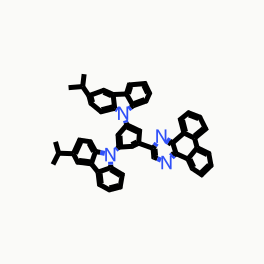 CC(C)c1ccc2c(c1)c1ccccc1n2-c1cc(-c2cnc3c4ccccc4c4ccccc4c3n2)cc(-n2c3ccccc3c3cc(C(C)C)ccc32)c1